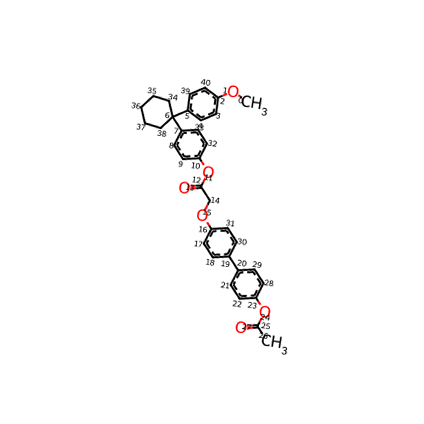 COc1ccc(C2(c3ccc(OC(=O)COc4ccc(-c5ccc(OC(C)=O)cc5)cc4)cc3)CCCCC2)cc1